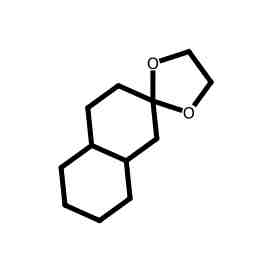 C1CCC2CC3(CCC2C1)OCCO3